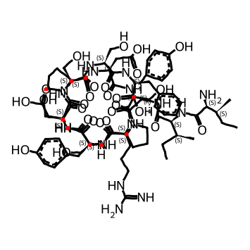 CC[C@H](C)[C@H](N)C(=O)N[C@H](C(=O)N[C@@H](Cc1ccc(O)cc1)C(=O)N1CCC[C@H]1C(=O)N[C@@H](CO)C(=O)N[C@@H](CC(=O)O)C(=O)N[C@@H](CO)C(=O)N[C@@H](CC(=O)O)C(=O)N[C@H](C(=O)N[C@@H](CCCNC(=N)N)C(=O)N[C@@H](Cc1ccc(O)cc1)C(=O)N[C@@H](CO)C(=O)N1CCC[C@H]1C(=O)N[C@@H](CO)C(=O)N[C@@H](Cc1ccccc1)C(=O)O)[C@@H](C)O)[C@@H](C)CC